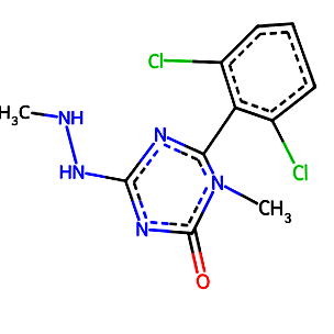 CNNc1nc(-c2c(Cl)cccc2Cl)n(C)c(=O)n1